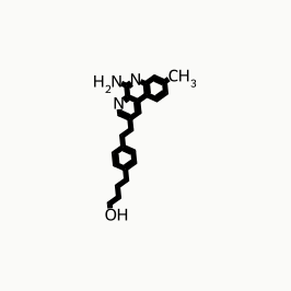 Cc1ccc2c(c1)nc(N)c1ncc(CCc3ccc(CCCCO)cc3)cc12